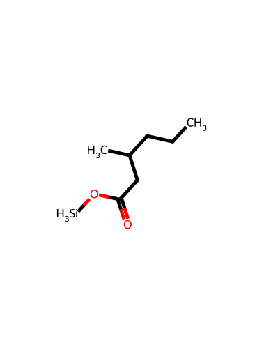 CCCC(C)CC(=O)O[SiH3]